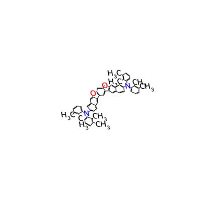 Cc1cccc(N(c2ccc3cc4c(cc3c2)oc2cc3oc5cc6cc(N(c7cccc(C)c7C)c7cccc(C)c7C)ccc6cc5c3cc24)c2cccc(C)c2C)c1C